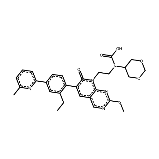 CCc1cc(-c2cccc(C)n2)ccc1-c1cc2cnc(SC)nc2n(CCN(C(=O)O)C2COCOC2)c1=O